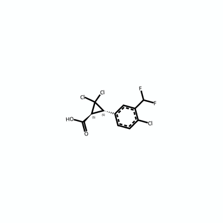 O=C(O)[C@@H]1[C@@H](c2ccc(Cl)c(C(F)F)c2)C1(Cl)Cl